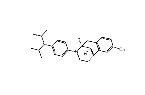 CC(C)N(c1ccc(N2CC[C@@]34CCCC[C@@H]3[C@@H]2Cc2ccc(O)cc24)cc1)C(C)C